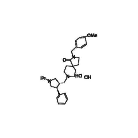 COc1ccc(CN2CCC3(CCN(C[C@H]4CN(C(C)C)C[C@@H]4c4ccccc4)CC3)C2=O)cc1.Cl.Cl